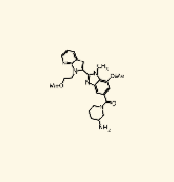 COCCn1c(-c2nc3cc(C(=O)N4CCCC(N)C4)cc(OC)c3n2C)cc2cccnc21